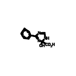 O=C(O)C1(O)N=C(c2ccccc2)N=CN1